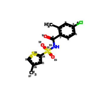 Cc1cc(Cl)ccc1C(=O)NS(=O)(=O)c1cc(C(F)(F)F)cs1